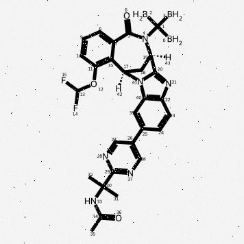 BC(B)(B)N1C(=O)c2cccc(OC(F)F)c2[C@H]2C[C@@H]1c1nc3ccc(-c4cnc(C(C)(C)NC(C)=O)nc4)cc3n12